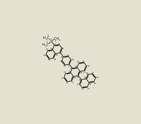 C[Si](C)(C)c1ccc(-c2ccc(-c3c4ccccc4c(-c4cccc5ccccc45)c4ccccc34)cc2)c2ccccc12